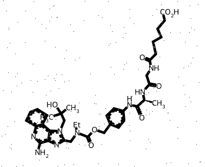 CCN(Cc1nc2c(N)nc3ccccc3c2n1CC(C)(C)O)C(=O)OCc1ccc(NC(=O)[C@H](C)NC(=O)CNC(=O)CCCCCC(=O)O)cc1